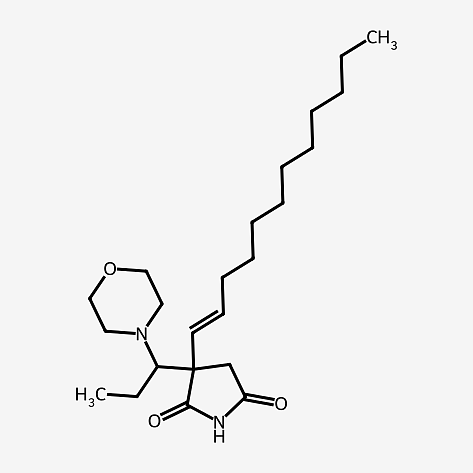 CCCCCCCCCCC=CC1(C(CC)N2CCOCC2)CC(=O)NC1=O